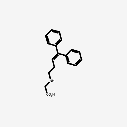 O=C(O)CNCCC=C(c1ccccc1)c1ccccc1